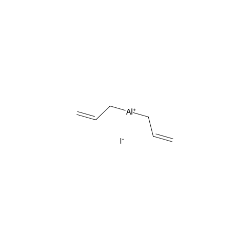 C=C[CH2][Al+][CH2]C=C.[I-]